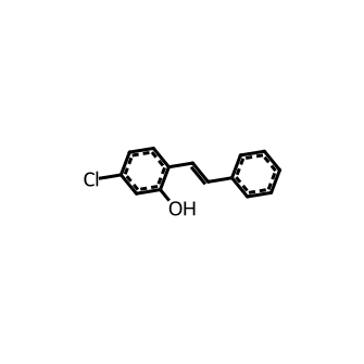 Oc1cc(Cl)ccc1C=Cc1ccccc1